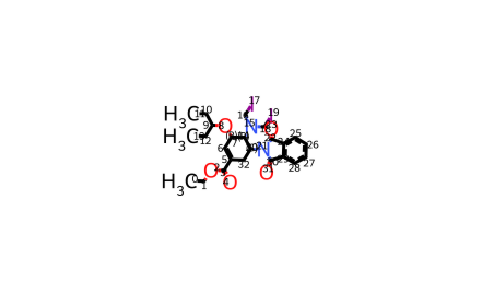 CCOC(=O)C1=C[C@@H](OC(CC)CC)[C@H](N(CI)CI)[C@@H](N2C(=O)c3ccccc3C2=O)C1